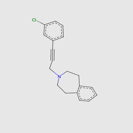 Clc1cccc(C#CCN2CCc3ccccc3CC2)c1